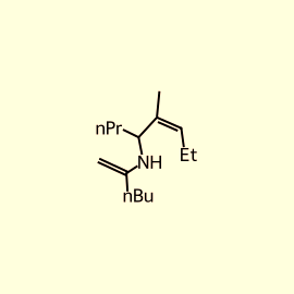 C=C(CCCC)NC(CCC)/C(C)=C\CC